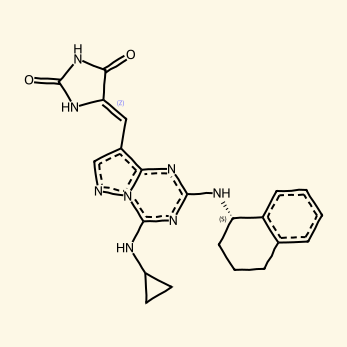 O=C1NC(=O)/C(=C/c2cnn3c(NC4CC4)nc(N[C@H]4CCCc5ccccc54)nc23)N1